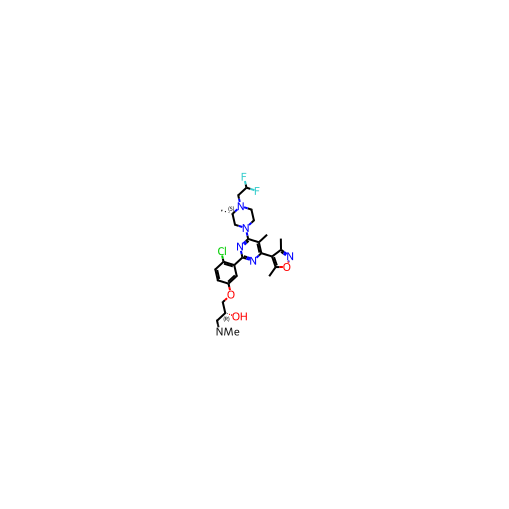 CNC[C@@H](O)COc1ccc(Cl)c(-c2nc(-c3c(C)noc3C)c(C)c(N3CCN(CC(F)F)[C@@H](C)C3)n2)c1